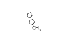 C1=CCCC1.CC1=CCCC1